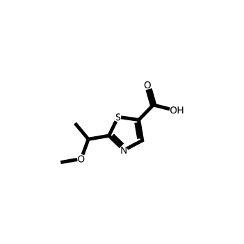 COC(C)c1ncc(C(=O)O)s1